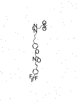 CS(=O)(=O)CCc1nccn1CCCCc1ccc(OCc2coc(/C=C/c3ccc(C(F)(F)F)cc3)n2)cc1